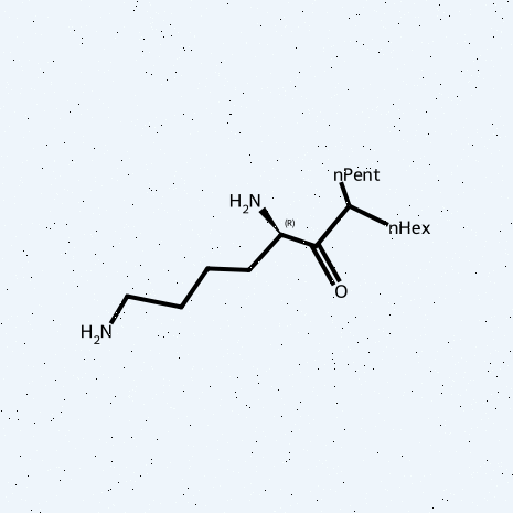 CCCCCCC(CCCCC)C(=O)[C@H](N)CCCCN